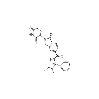 CCC(C)[C@H](NC(=O)c1ccc2c(c1)CN(C1CCC(=O)NC1=O)C2=O)c1ccccc1